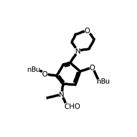 CCCCOc1cc(N2CCOCC2)c(OCCCC)cc1N(C)C=O